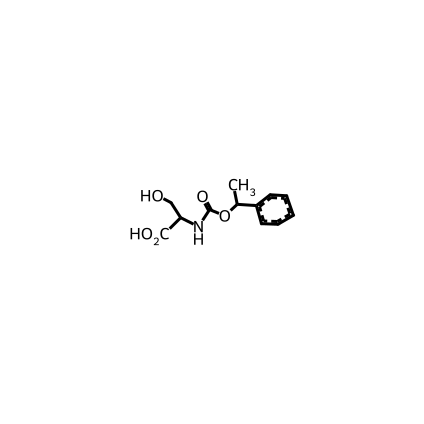 CC(OC(=O)NC(CO)C(=O)O)c1ccccc1